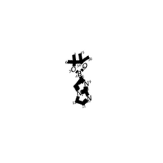 CC1(C)OB(c2cn3c(n2)N=CC3)OC1(C)C